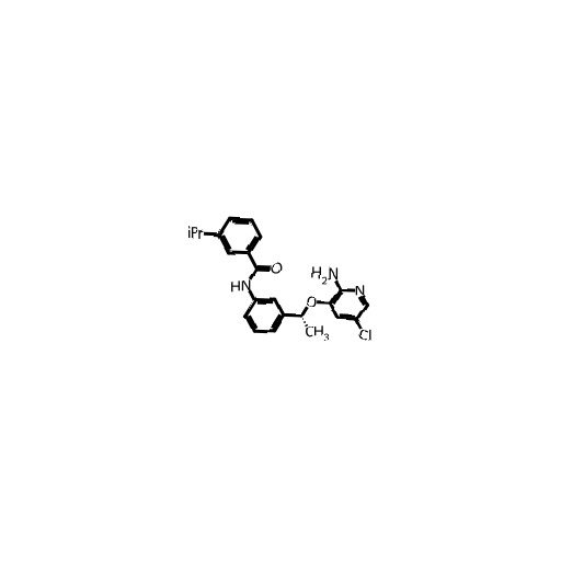 CC(C)c1cccc(C(=O)Nc2cccc([C@@H](C)Oc3cc(Cl)cnc3N)c2)c1